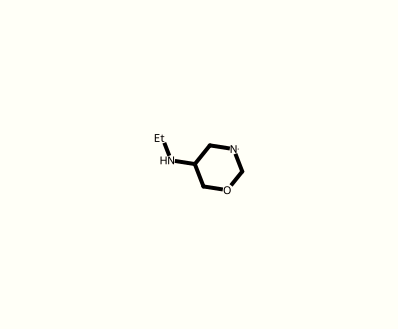 CCNC1C[N]COC1